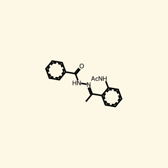 CC(=O)Nc1ccccc1C(C)=NNC(=O)c1ccccc1